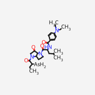 CCC([AsH2])C(=O)N1CC(=O)C2C1CCN2C(=O)C(CC(C)C)NC(=O)c1ccc(N(CC)CC)cc1